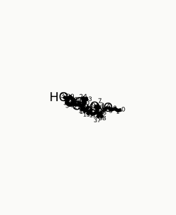 CCCCOCN(C)C(=O)C(CC(C)(C)C(C)(C)C(C)(CC(C)(C)C)C(=O)Oc1ccc(O)cc1)C(C)(C)C